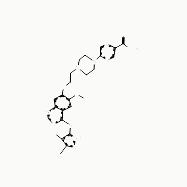 COC(=O)c1cnc(N2CCN(CCOc3cc4ncnc(Nc5[nH]nc(C)c5C)c4cc3SC(C)(C)C)CC2)cn1